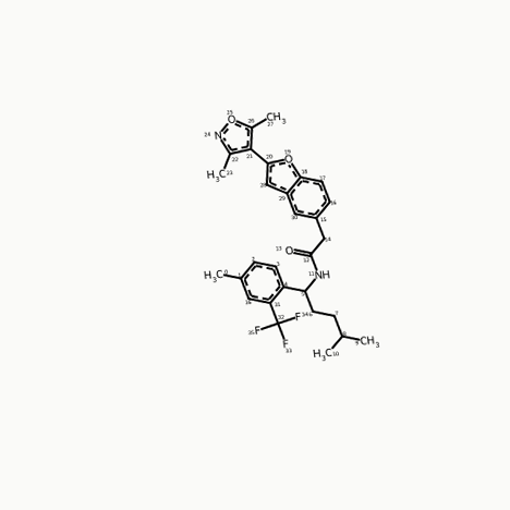 Cc1ccc(C(CCC(C)C)NC(=O)Cc2ccc3oc(-c4c(C)noc4C)cc3c2)c(C(F)(F)F)c1